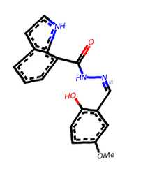 COc1ccc(O)c(/C=N\NC(=O)c2cccc3cc[nH]c23)c1